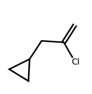 C=C(Cl)CC1CC1